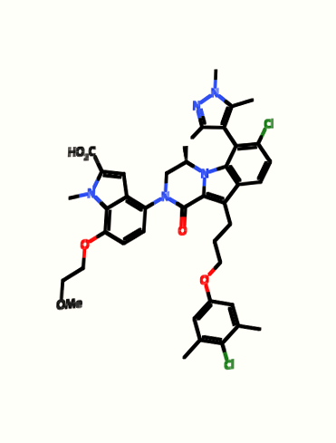 COCCOc1ccc(N2C[C@@H](C)n3c(c(CCCOc4cc(C)c(Cl)c(C)c4)c4ccc(Cl)c(-c5c(C)nn(C)c5C)c43)C2=O)c2cc(C(=O)O)n(C)c12